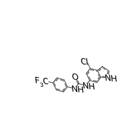 O=C(Nc1ccc(C(F)(F)F)cc1)Nc1cc(Cl)c2cc[nH]c2c1